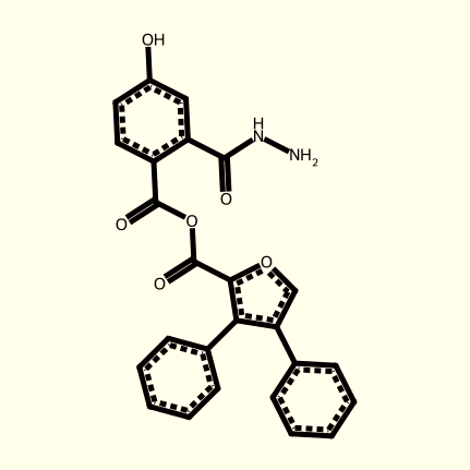 NNC(=O)c1cc(O)ccc1C(=O)OC(=O)c1occ(-c2ccccc2)c1-c1ccccc1